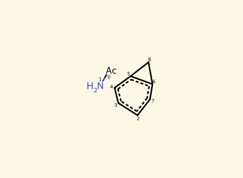 CC(N)=O.c1ccc2c(c1)C2